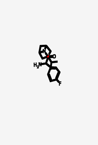 CC(C)N1CC2CC(C1)N2C(=O)C(N)c1ccc(F)cc1